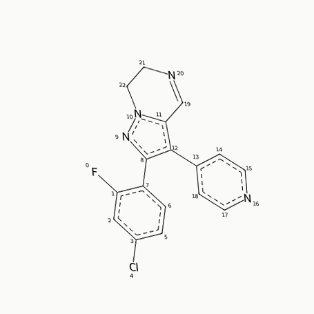 Fc1cc(Cl)ccc1-c1nn2c(c1-c1ccncc1)C=NCC2